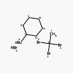 Br.CC(Br)(Br)Br.CCCCC1CCCCC1